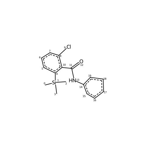 C[Si](C)(C)c1cccc(Cl)c1C(=O)Nc1ccccc1